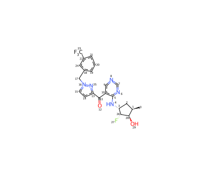 [CH2][C@@H]1C[C@@H](Nc2ncncc2C(=O)c2ccn(Cc3cccc(C(F)(F)F)c3)n2)[C@@H](F)[C@@H]1O